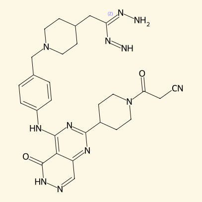 N#CCC(=O)N1CCC(c2nc(Nc3ccc(CN4CCC(C/C(N=N)=N/N)CC4)cc3)c3c(=O)[nH]ncc3n2)CC1